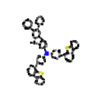 CC1(C)c2cc(N(c3ccc(-c4cccc5c4sc4ccccc45)cc3)c3ccc(-c4cccc5c4sc4ccccc45)cc3)ccc2-c2cc(-c3ccccc3)c(-c3ccccc3)cc21